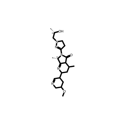 COC1CN=CC(C2CC(C)C3C(=O)N(C4=NN(C[C@H](C)O)CC4)[C@@H](C)C3=N2)C1